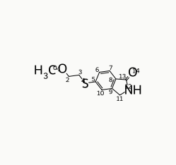 COCCSc1ccc2c(c1)CNC2=O